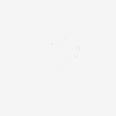 CC(C)(C)[O][Sn]([O]C(C)(C)C)([O]C(C)(C)C)[C](C)(C)C